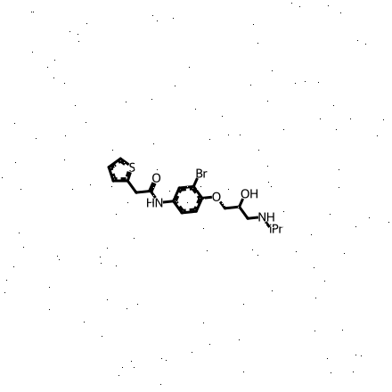 CC(C)NCC(O)COc1ccc(NC(=O)Cc2cccs2)cc1Br